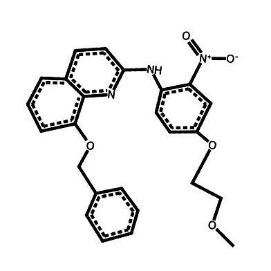 COCCOc1ccc(Nc2ccc3cccc(OCc4ccccc4)c3n2)c([N+](=O)[O-])c1